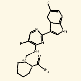 NC(=O)N1CCCC[C@@H]1CNc1nc(C2=CNC3=NC=C(Cl)CC23)ncc1F